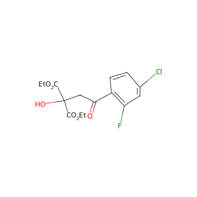 CCOC(=O)C(O)(CC(=O)c1ccc(Cl)cc1F)C(=O)OCC